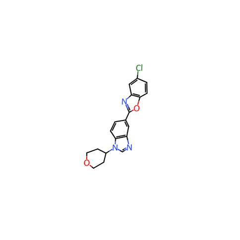 Clc1ccc2oc(-c3ccc4c(c3)ncn4C3CCOCC3)nc2c1